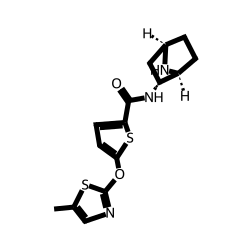 Cc1cnc(Oc2ccc(C(=O)N[C@@H]3C[C@H]4CC[C@@H]3N4)s2)s1